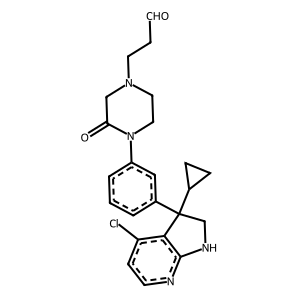 O=CCCN1CCN(c2cccc(C3(C4CC4)CNc4nccc(Cl)c43)c2)C(=O)C1